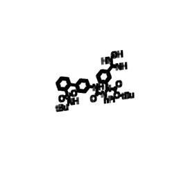 CCCN(C(=O)Nc1ccc(-c2ccccc2S(=O)(=O)NC(C)(C)C)cc1)N(C(=O)OC(C)(C)C)c1cccc(C(=N)NO)c1